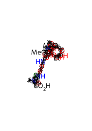 CC[C@H]1OC(=O)[C@H](C)[C@@H](O[C@H]2C[C@@](C)(OC)[C@@H](OC(=O)CCNCCOCCOCCNc3cc4c(=O)c(C(=O)O)cn(C5CC5)c4cc3Cl)[C@H](C)O2)[C@H](C)[C@@H](O[C@@H]2O[C@H](C)C[C@H](N(C)C)[C@H]2O)[C@](C)(OC)C[C@@H](C)C(=O)[C@H](C)[C@@H](O)[C@]1(C)O